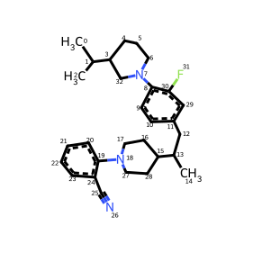 CC(C)C1CCCN(c2ccc(CC(C)C3CCN(c4ccccc4C#N)CC3)cc2F)C1